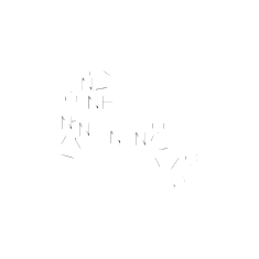 COc1ccc(C(=O)N2CCN(CCn3c(C(=O)Nc4ccccn4)nc4ccccc43)CC2)cc1OC